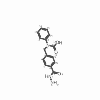 NNC(=O)c1ccc(CN(C(=O)O)c2ccccc2)cc1